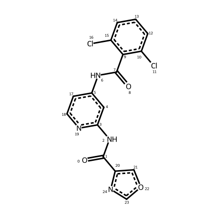 O=C(Nc1cc(NC(=O)c2c(Cl)cccc2Cl)ccn1)c1cocn1